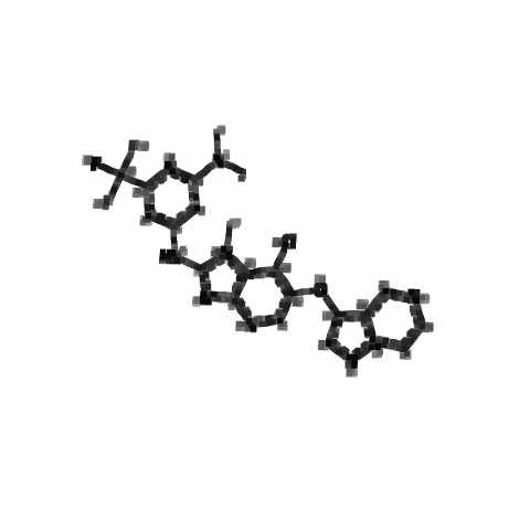 CN(C)c1cc(Nc2nc3ncc(Oc4cnn5ccncc45)c(Cl)c3n2C)cc(C(F)(F)F)n1